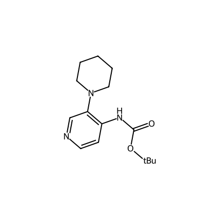 CC(C)(C)OC(=O)Nc1ccncc1N1CCCCC1